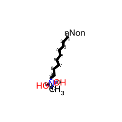 CCCCCCCCCCCCCCCCCCC[N+](C)(O)O